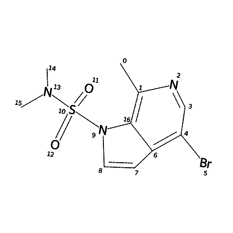 Cc1ncc(Br)c2ccn(S(=O)(=O)N(C)C)c12